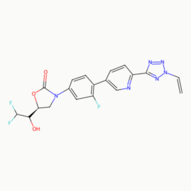 C=Cn1nnc(-c2ccc(-c3ccc(N4C[C@@H](C(O)C(F)F)OC4=O)cc3F)cn2)n1